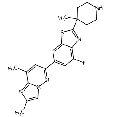 Cc1cn2nc(-c3cc(F)c4nc(C5(C)CCNCC5)sc4c3)cc(C)c2n1